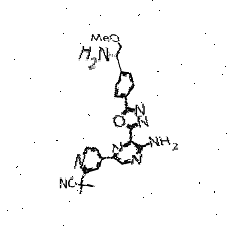 COC[C@@H](N)c1ccc(-c2nnc(-c3nc(-c4ccnc(C(C)(C)C#N)c4)cnc3N)o2)cc1